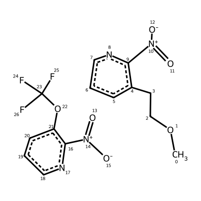 COCCc1cccnc1[N+](=O)[O-].O=[N+]([O-])c1ncccc1OC(F)(F)F